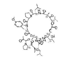 CC[C@H](C)[C@H]1NC(=O)[C@@H](NC(=O)[C@@H](CC(C)C)N(C)C(=O)[C@@H]2CCCN2C(=O)C(C)=O)[C@@H](C)OC(=O)[C@H](Cc2ccc(OC)cc2)N(C)C(=O)C2CCCN2C(=O)[C@H](CC(C)C)NC(=O)[C@@H](C)C(=O)[C@H](C(C)C)OC(=O)C[C@@H]1O